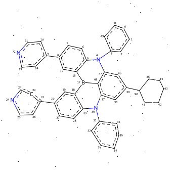 c1ccc(N2c3ccc(-c4ccncc4)cc3B3c4cc(-c5ccncc5)ccc4N(c4ccccc4)c4cc(C5CCCCC5)cc2c43)cc1